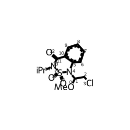 COC(CCl)N1c2ccccc2C(=O)N(C(C)C)S1(=O)=O